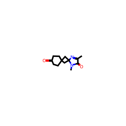 CC1=NC2(CC3(CCC(=O)CC3)C2)N(C)C1=O